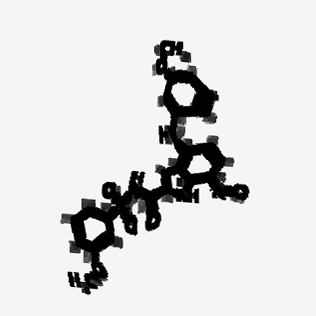 COc1cccc(Nc2ccc(N=O)c3[nH]c(C(=O)NS(=O)(=O)c4cccc(OC)c4)cc23)c1